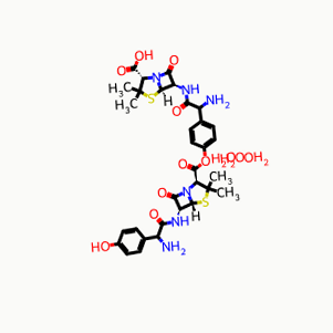 CC1(C)S[C@@H]2[C@H](NC(=O)C(N)c3ccc(OC(=O)[C@@H]4N5C(=O)[C@@H](NC(=O)C(N)c6ccc(O)cc6)[C@H]5SC4(C)C)cc3)C(=O)N2[C@H]1C(=O)O.O.O.O